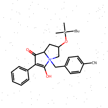 CC(C)(C)[Si](C)(C)OC1CC2C(=O)C(c3ccccc3)=C(O)[N+]2(Cc2ccc(C#N)cc2)C1